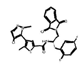 Cc1sc(C(=O)N[C@@H](Cc2cc(F)ccc2F)CN2C(=O)c3ccccc3C2=O)cc1-c1c(Cl)cnn1C